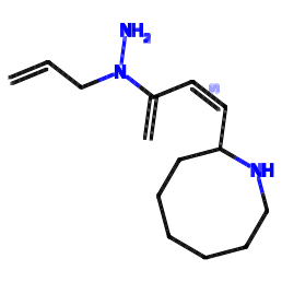 C=CCN(N)C(=C)/C=C\C1CCCCCCN1